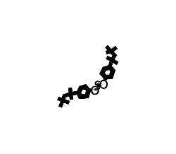 CC(C)(C)CC(C)(C)c1ccc(OSOc2ccc(C(C)(C)CC(C)(C)C)cc2)cc1